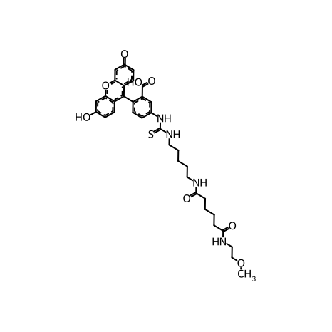 COCCNC(=O)CCCCC(=O)NCCCCCNC(=S)Nc1ccc(-c2c3ccc(=O)cc-3oc3cc(O)ccc23)c(C(=O)O)c1